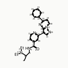 CCN(CC)C(C)CNC(=O)c1ccnc(-c2cnn3ccc(-c4ccccc4)nc23)c1